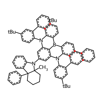 CC(C)(C)c1ccc(N2c3cc(-c4ccccc4)ccc3B3c4ccc(C(C)(C)C)cc4N(c4ccc(C(C)(C)C)cc4-c4ccccc4)c4cc(N5c6ccccc6C6(c7ccccc7)CCCCC56C)cc2c43)c(-c2ccccc2)c1